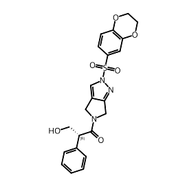 O=C([C@@H](CO)c1ccccc1)N1Cc2cn(S(=O)(=O)c3ccc4c(c3)OCCO4)nc2C1